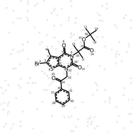 Cc1c(Br)sc2c1c(=O)n(C(C)(C)C(=O)OC(C)(C)C)c(=O)n2CC(=O)c1ccccc1